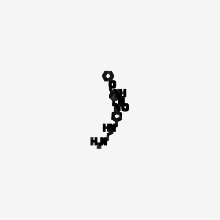 NCCCNCc1ccc(-n2cc3cc(COc4ccccc4)[nH]c3nc2=O)cc1